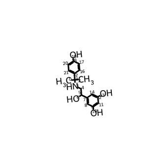 CC(C)(NCC(O)c1cc(O)cc(O)c1)c1ccc(O)cc1